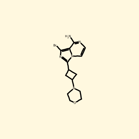 Nc1nccn2c(C3CC(N4CCOCC4)C3)nc(Br)c12